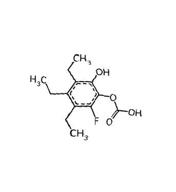 CCc1c(O)c(OC(=O)O)c(F)c(CC)c1CC